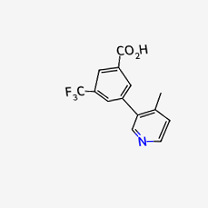 Cc1ccncc1-c1cc(C(=O)O)cc(C(F)(F)F)c1